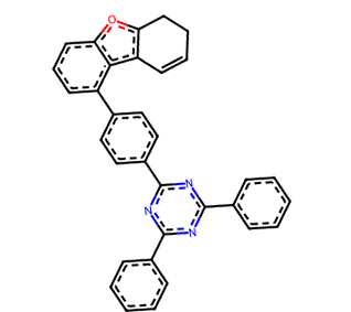 C1=Cc2c(oc3cccc(-c4ccc(-c5nc(-c6ccccc6)nc(-c6ccccc6)n5)cc4)c23)CC1